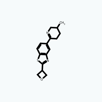 CC1CCC(c2ccc3sc(C4COC4)nc3c2)=NC1